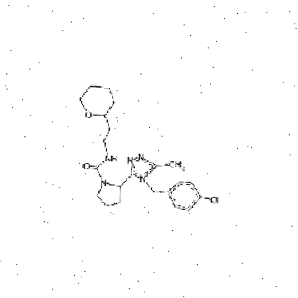 Cc1nnc(C2CCCN2C(=O)NCCC2CCCCO2)n1Cc1ccc(Cl)cc1